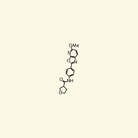 COc1ccc2nc(-c3ccc(NC(=O)C4CCOC4)cc3)oc2n1